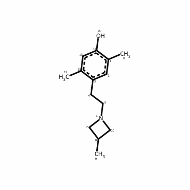 Cc1cc(CCN2CC(C)C2)c(C)cc1O